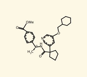 COC(=O)c1ccc([C@H](C)NC(=O)C2(c3cncc(OCC4CCCCC4)c3)CCCC2)cc1